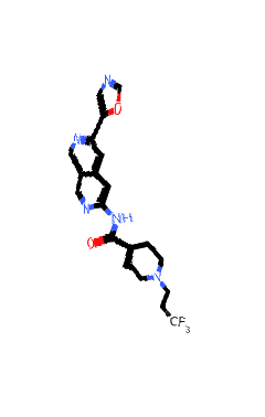 O=C(Nc1cc2cc(-c3cnco3)ncc2cn1)C1CCN(CCC(F)(F)F)CC1